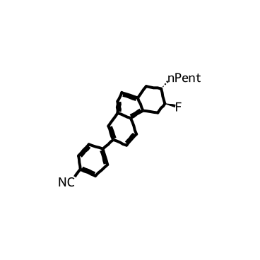 CCCCC[C@H]1Cc2ccc3cc(-c4ccc(C#N)cc4)ccc3c2C[C@@H]1F